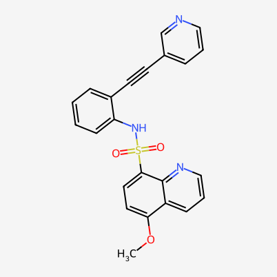 COc1ccc(S(=O)(=O)Nc2ccccc2C#Cc2cccnc2)c2ncccc12